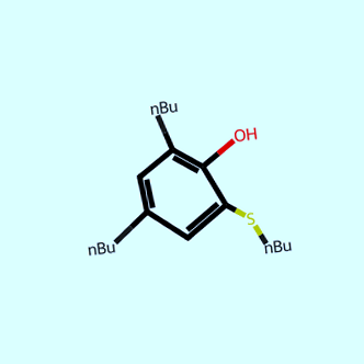 CCCCSc1cc(CCCC)cc(CCCC)c1O